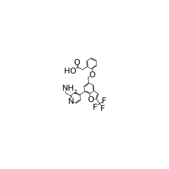 NCc1cc(-c2cc(COc3ccccc3CC(=O)O)cc3cc(C(F)(F)F)oc23)ccn1